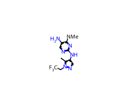 CNc1nc(Nc2cnn(CC(F)(F)F)c2C)ncc1N